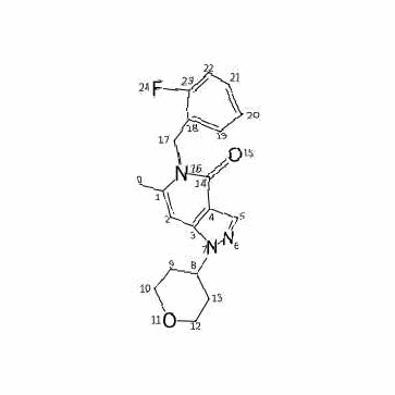 Cc1cc2c(cnn2C2CCOCC2)c(=O)n1Cc1ccccc1F